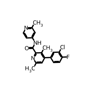 Cc1cc(NC(=O)c2nc(C)cc(-c3ccc(F)c(Cl)c3)c2C)ccn1